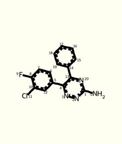 Nc1nnc(-c2ccc(F)c(Cl)c2)c(-c2ccccc2)n1